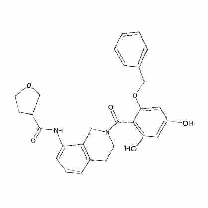 O=C(Nc1cccc2c1CN(C(=O)c1c(O)cc(O)cc1OCc1ccccc1)CC2)C1CCOC1